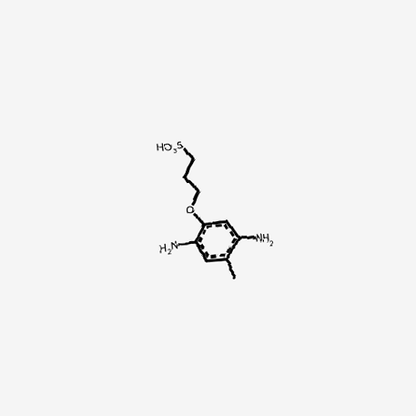 Cc1cc(N)c(OCCCS(=O)(=O)O)cc1N